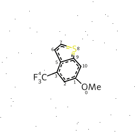 COc1cc(C(F)(F)F)c2ccsc2c1